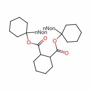 CCCCCCCCCC1(OC(=O)C2CCCCC2C(=O)OC2(CCCCCCCCC)CCCCC2)CCCCC1